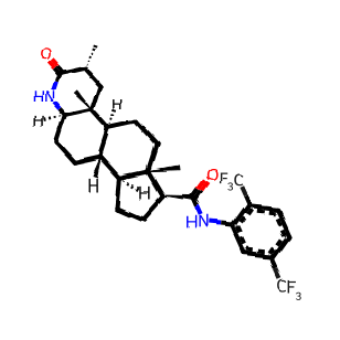 C[C@@H]1C[C@@]2(C)[C@@H](CC[C@@H]3[C@@H]2CC[C@]2(C)[C@@H](C(=O)Nc4cc(C(F)(F)F)ccc4C(F)(F)F)CC[C@@H]32)NC1=O